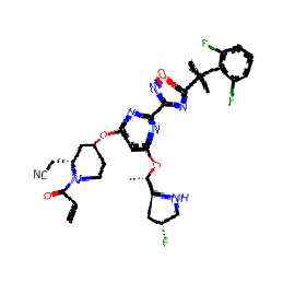 C=CC(=O)N1CC[C@H](Oc2cc(O[C@@H](C)[C@@H]3C[C@@H](F)CN3)nc(-c3noc(C(C)(C)c4c(F)cccc4F)n3)n2)C[C@H]1CC#N